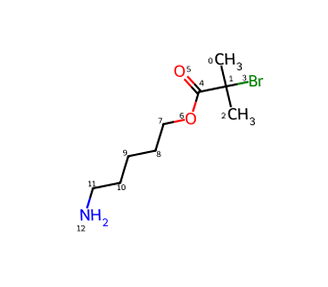 CC(C)(Br)C(=O)OCCCCCN